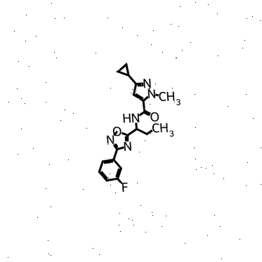 CCC(NC(=O)c1cc(C2CC2)nn1C)c1nc(-c2cccc(F)c2)no1